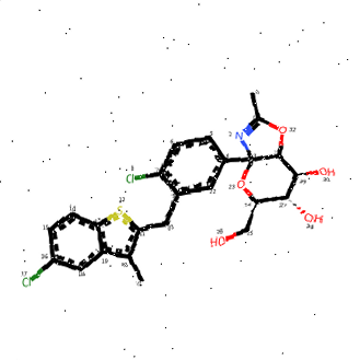 CC1=NC2(c3ccc(Cl)c(Cc4sc5ccc(Cl)cc5c4C)c3)O[C@H](CO)[C@@H](O)[C@H](O)C2O1